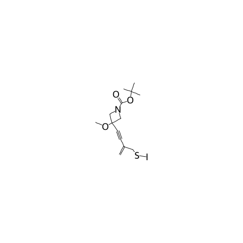 C=C(C#CC1(OC)CN(C(=O)OC(C)(C)C)C1)CSI